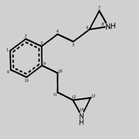 c1ccc(CCC2CN2)c(CCC2CN2)c1